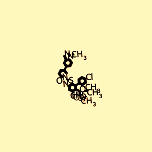 COC(=O)C(OC(C)(C)C)c1c(C)cc2nc(-n3cc(-c4ccc5c(cnn5C)c4)ccc3=O)sc2c1-c1ccc(Cl)cc1